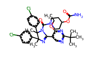 CCOc1nc(C(C)(C)C)ncc1C1=NC(C)(c2ccc(Cl)cc2)C(C)(c2ccc(Cl)cc2)N1C(=O)N1CCC(OC(N)=O)CC1